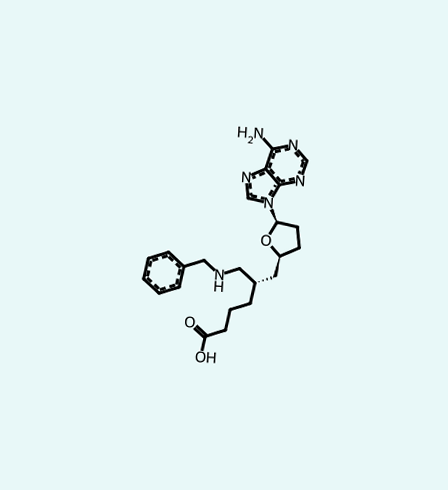 Nc1ncnc2c1ncn2[C@H]1CC[C@@H](C[C@H](CCCC(=O)O)CNCc2ccccc2)O1